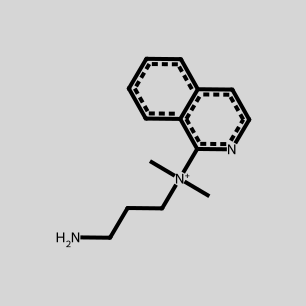 C[N+](C)(CCCN)c1nccc2ccccc12